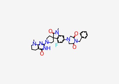 CN1CCCc2c1nc(N1CCC3(CC1)C(=O)N(C)c1cc(N4CC(=O)N(Cc5ccccc5)C(=O)C4)cc(F)c13)[nH]c2=O